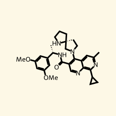 COc1cc(OC)cc([C@H](C)NC(=O)c2cnc3c(C4CC4)nc(C)cc3c2N2CC[C@]3(CCCN3)C2)c1